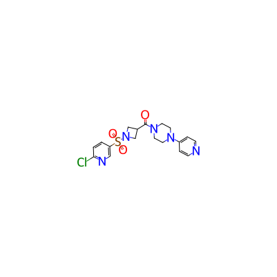 O=C(C1CN(S(=O)(=O)c2ccc(Cl)nc2)C1)N1CCN(c2ccncc2)CC1